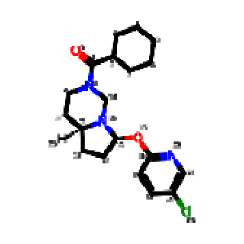 O=C(C1CCCCC1)N1CC[C@@H]2CC[C@H](Oc3ccc(Cl)cn3)N2C1